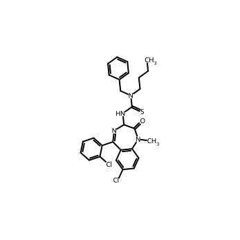 CCCCN(Cc1ccccc1)C(=S)NC1N=C(c2ccccc2Cl)c2cc(Cl)ccc2N(C)C1=O